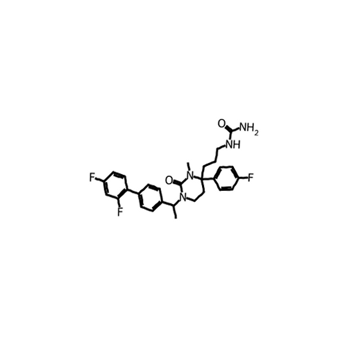 CC(c1ccc(-c2ccc(F)cc2F)cc1)N1CCC(CCCNC(N)=O)(c2ccc(F)cc2)N(C)C1=O